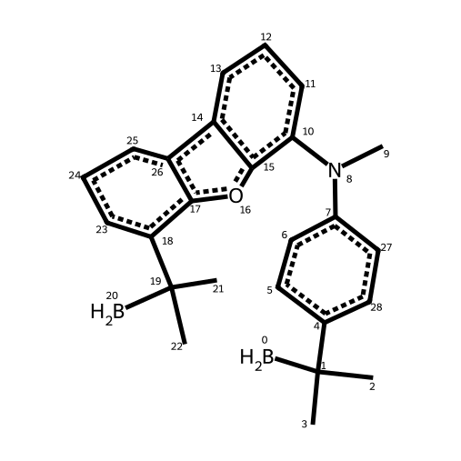 BC(C)(C)c1ccc(N(C)c2cccc3c2oc2c(C(B)(C)C)cccc23)cc1